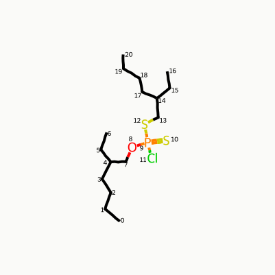 CCCCC(CC)COP(=S)(Cl)SCC(CC)CCCC